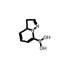 OB(O)C1=CC=CC2CC=NN12